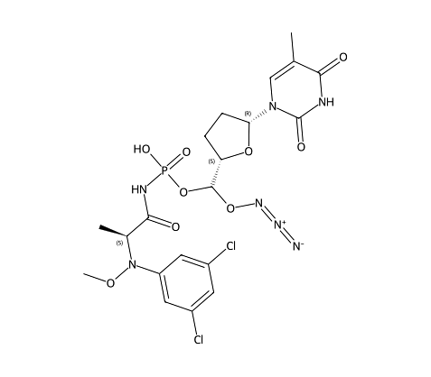 CON(c1cc(Cl)cc(Cl)c1)[C@@H](C)C(=O)NP(=O)(O)OC(ON=[N+]=[N-])[C@@H]1CC[C@H](n2cc(C)c(=O)[nH]c2=O)O1